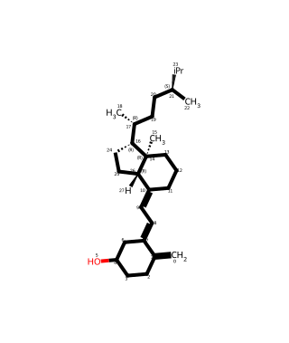 C=C1CCC(O)CC1=CC=C1CCC[C@]2(C)[C@@H]([C@H](C)CC[C@H](C)C(C)C)CC[C@@H]12